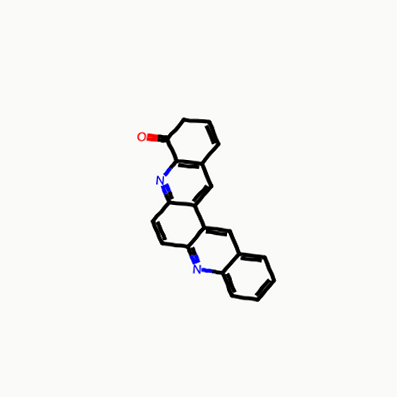 O=C1CC=Cc2cc3c(ccc4nc5ccccc5cc43)nc21